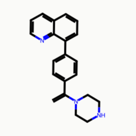 C=C(c1ccc(-c2cccc3cccnc23)cc1)N1CCNCC1